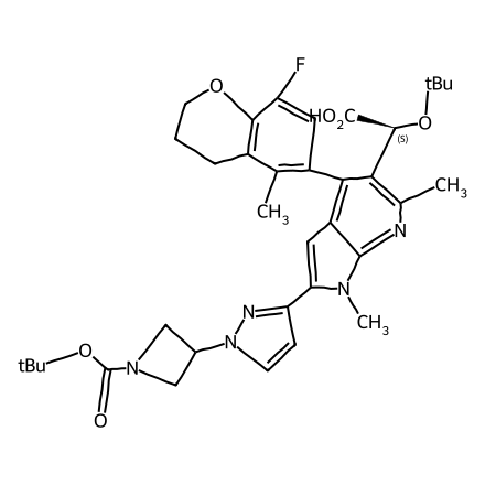 Cc1nc2c(cc(-c3ccn(C4CN(C(=O)OC(C)(C)C)C4)n3)n2C)c(-c2cc(F)c3c(c2C)CCCO3)c1[C@H](OC(C)(C)C)C(=O)O